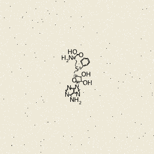 Nc1ncnc2c1ncn2[C@@H]1O[C@H](C[S+](CC[C@H](N)C(=O)O)Cc2ccccc2)C(O)C1O